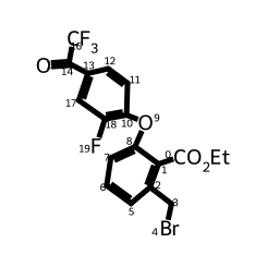 CCOC(=O)c1c(CBr)cccc1Oc1ccc(C(=O)C(F)(F)F)cc1F